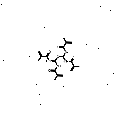 C=C(C)C(=O)NC(NC(=O)C(=C)C)OC(NC(=O)C(=C)C)NC(=O)C(=C)C